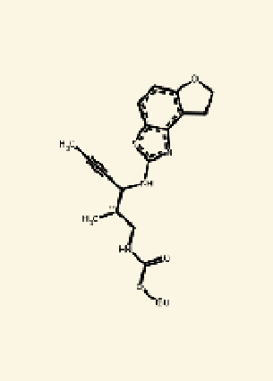 CC#CC(Nc1nc2c3c(ccc2s1)OCC3)[C@H](C)CNC(=O)OC(C)(C)C